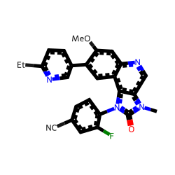 CCc1ccc(-c2cc3c(cc2OC)ncc2c3n(-c3ccc(C#N)cc3F)c(=O)n2C)cn1